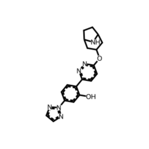 Oc1cc(-n2nccn2)ccc1-c1ccc(OC2CC3CCC(C2)N3)nn1